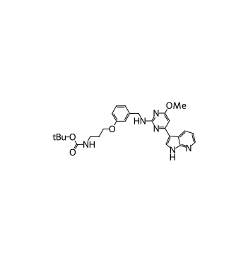 COc1cc(-c2c[nH]c3ncccc23)nc(NCc2cccc(OCCCNC(=O)OC(C)(C)C)c2)n1